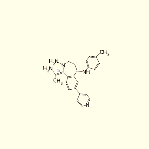 C/C(N)=C1\c2ccc(-c3ccncc3)cc2C(Nc2ccc(C)cc2)CCN1N